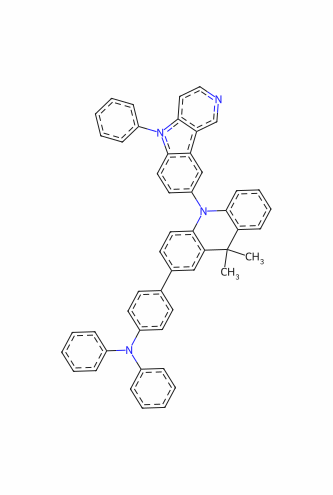 CC1(C)c2ccccc2N(c2ccc3c(c2)c2cnccc2n3-c2ccccc2)c2ccc(-c3ccc(N(c4ccccc4)c4ccccc4)cc3)cc21